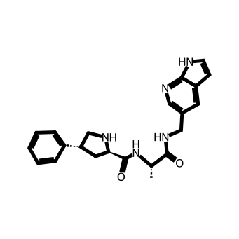 C[C@H](NC(=O)[C@H]1C[C@H](c2ccccc2)CN1)C(=O)NCc1cnc2[nH]ccc2c1